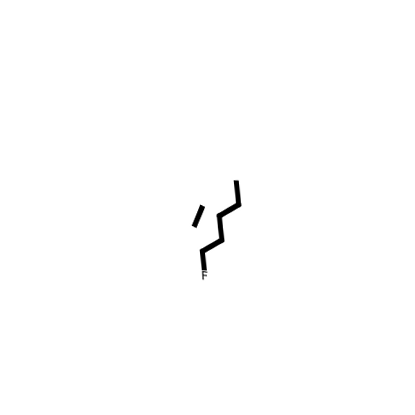 CC.CCCCCF